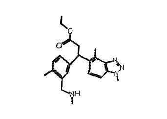 CCOC(=O)CC(c1ccc(C)c(CNC)c1)c1ccc2c(nnn2C)c1C